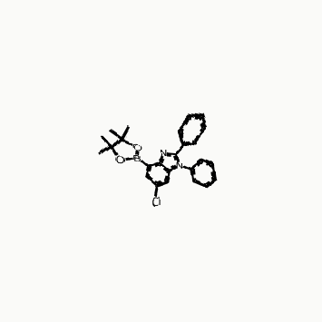 CC1(C)OB(c2cc(Cl)cc3c2nc(-c2ccccc2)n3-c2ccccc2)OC1(C)C